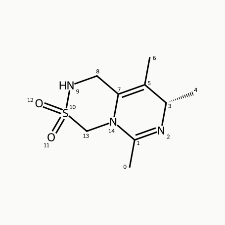 CC1=N[C@@H](C)C(C)=C2CNS(=O)(=O)CN12